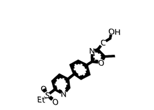 CCS(=O)(=O)c1ccc(-c2ccc(-c3nc(CCO)c(C)o3)cc2)cn1